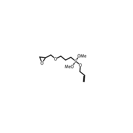 C=CCO[Si](CCCOCC1CO1)(OC)OC